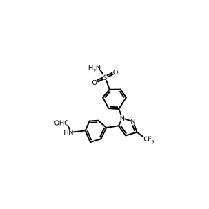 NS(=O)(=O)c1ccc(-n2nc(C(F)(F)F)cc2-c2ccc(NC=O)cc2)cc1